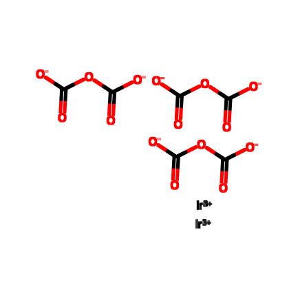 O=C([O-])OC(=O)[O-].O=C([O-])OC(=O)[O-].O=C([O-])OC(=O)[O-].[Ir+3].[Ir+3]